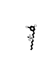 CCCCCCN(CCCc1cc(Cl)cc(Cl)c1)S(C)(=O)=O